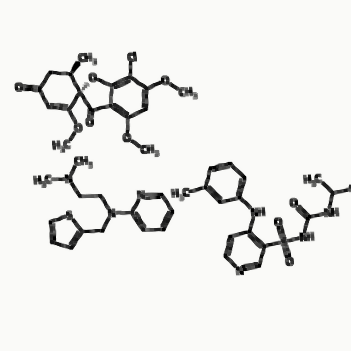 CN(C)CCN(Cc1cccs1)c1ccccn1.COC1=CC(=O)C[C@@H](C)[C@]12Oc1c(Cl)c(OC)cc(OC)c1C2=O.Cc1cccc(Nc2ccncc2S(=O)(=O)NC(=O)NC(C)C)c1